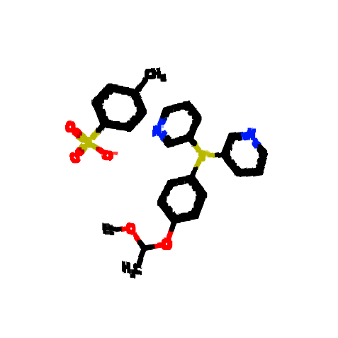 CCOC(C)Oc1ccc([S+](c2cccnc2)c2cccnc2)cc1.Cc1ccc(S(=O)(=O)[O-])cc1